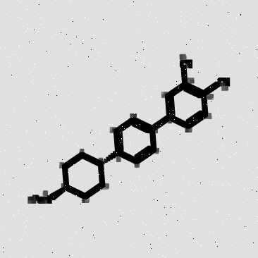 CCCCC[C@H]1CC[C@H](c2ccc(-c3ccc(C#N)c(C#N)c3)cc2)CC1